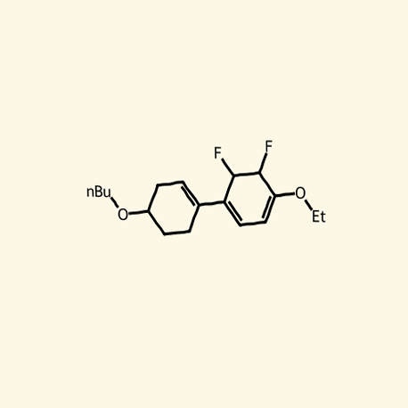 CCCCOC1CC=C(C2=CC=C(OCC)C(F)C2F)CC1